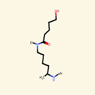 CCCNC(C)CCCCN(CC)C(=O)CCCCO